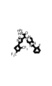 CCCNC(=O)C(c1cc(-c2ccc(C(F)(F)F)cc2C(F)(F)F)no1)n1cc2nc(-c3ccccc3F)nc-2cn1